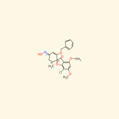 COc1cc(OC)c2c(c1Cl)O[C@]1(C2=O)C(OCc2ccccc2)=C/C(=N/O)C[C@H]1C